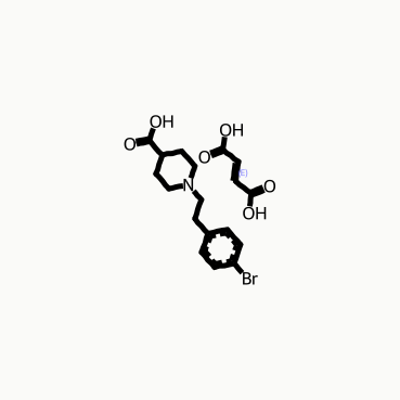 O=C(O)/C=C/C(=O)O.O=C(O)C1CCN(CCc2ccc(Br)cc2)CC1